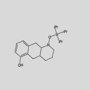 CC(C)[Si](ON1CCCC2Cc3c(O)cccc3CC21)(C(C)C)C(C)C